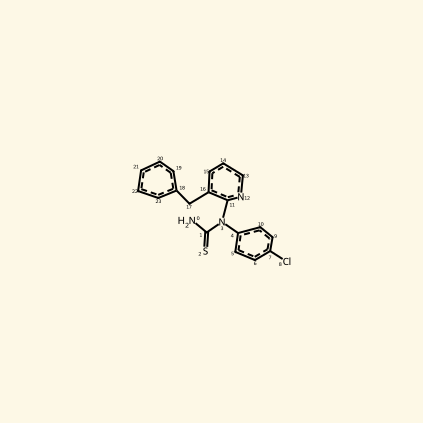 NC(=S)N(c1ccc(Cl)cc1)c1ncccc1Cc1ccccc1